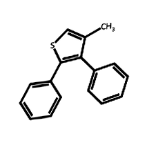 Cc1csc(-c2ccccc2)c1-c1ccccc1